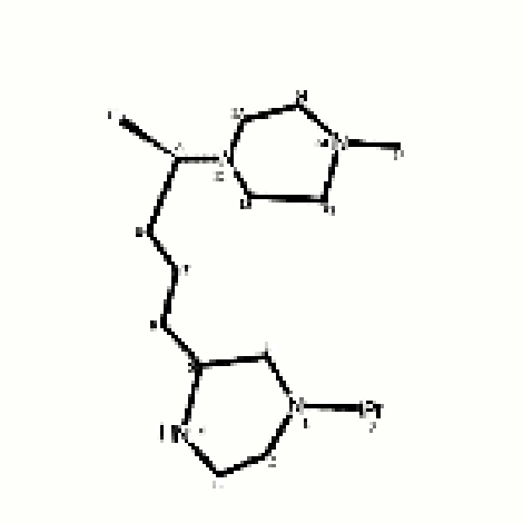 CC(C)N1CCNC(CCC[C@@H](C)N2CCN(C)CC2)C1